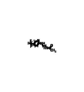 CC(=O)NCCNc1ccc(C(F)(F)F)cn1